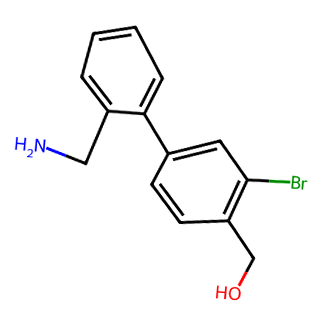 NCc1ccccc1-c1ccc(CO)c(Br)c1